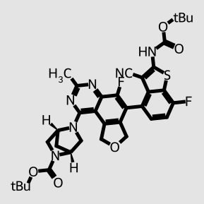 Cc1nc(N2C[C@H]3C[C@@H]2CN3C(=O)OC(C)(C)C)c2c3c(c(-c4ccc(F)c5sc(NC(=O)OC(C)(C)C)c(C#N)c45)c(F)c2n1)COC3